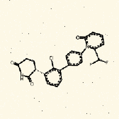 O=C1CC[C@H](c2cccc(-c3ccc(-n4c(C(F)F)cccc4=O)cc3)c2Cl)C(=O)N1